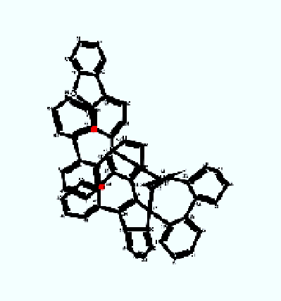 c1ccc(-c2ccccc2N(c2ccc3c(c2)C2(c4ccccc4-c4ccccc4-3)c3ccccc3-c3c2c2ccccc2c2ccccc32)c2ccc3c(c2)oc2ccccc23)cc1